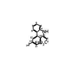 CCOC(=O)C=C(Nc1ccccc1)c1ccc(I)cc1